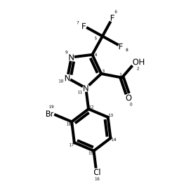 O=C(O)c1c(C(F)(F)F)nnn1-c1ccc(Cl)cc1Br